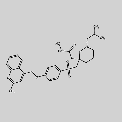 Cc1cc(COc2ccc(S(=O)(=O)CC3(CC(=O)NO)CCCN(CC(C)C)C3)cc2)c2ccccc2n1